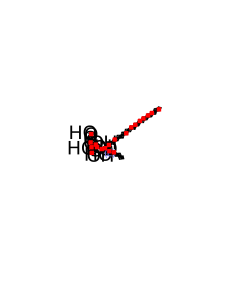 CCCCC/C=C/[C@@H](O)[C@H](COC1OC(CO)C(O)C(OSOOO)C1O)NC(=O)CCCCCCCCCCCCCCCCCCCCCCCCC